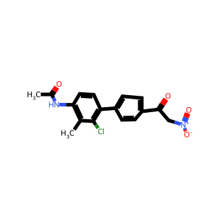 CC(=O)Nc1ccc(-c2ccc(C(=O)C[N+](=O)[O-])cc2)c(Cl)c1C